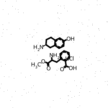 COC(=O)C(N)Cc1ccccc1C(=O)O.Cl.N[C@H]1CCc2cc(O)ccc2C1